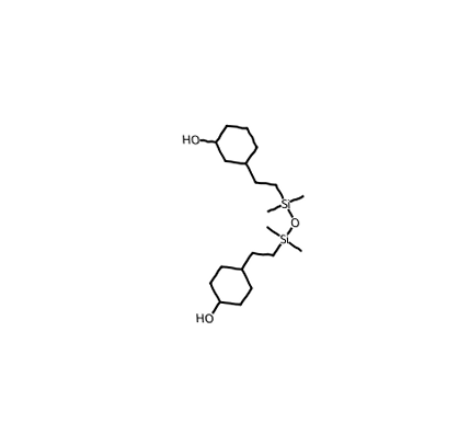 C[Si](C)(CCC1CCC(O)CC1)O[Si](C)(C)CCC1CCCC(O)C1